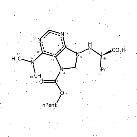 CCCCCOC(=O)N1CN(N[C@@H](C(=O)O)C(C)C)c2ncnc(N(C)C)c21